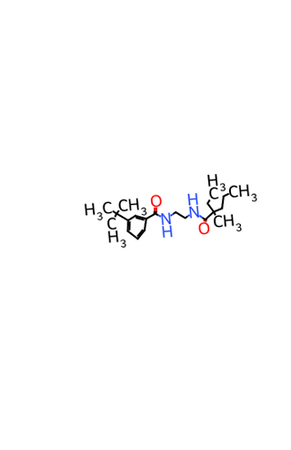 CCCC(C)(CC)C(=O)NCCNC(=O)c1cccc(C(C)(C)C)c1